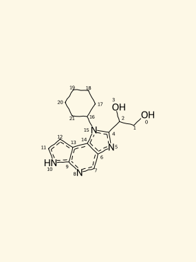 OCC(O)c1nc2cnc3[nH]ccc3c2n1C1CCCCC1